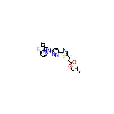 COC(=O)CCc1cnc(-c2ccc(NCC3(c4ncccc4F)CCC3)nn2)s1